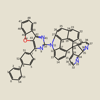 c1ccc(-c2ccc(-c3nc(-n4c5cccc6c5c5c7c(cccc7ccc54)C64c5cccnc5-c5ncccc54)nc4c3oc3ccccc34)cc2)cc1